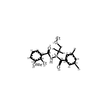 CCOCC(C)(C)N(NC(=O)c1cccc(OC)c1CC)C(=O)c1cc(C)cc(C)c1